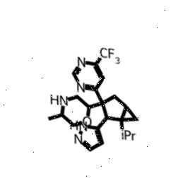 CC1COC(C2(c3cc(C(F)(F)F)ncn3)CC3CC3(C(C)C)C2c2ccn[nH]2)CN1